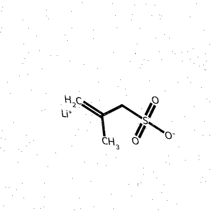 C=C(C)CS(=O)(=O)[O-].[Li+]